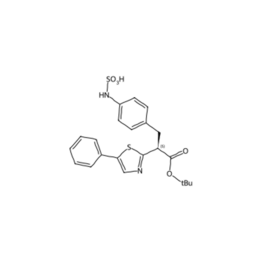 CC(C)(C)OC(=O)[C@H](Cc1ccc(NS(=O)(=O)O)cc1)c1ncc(-c2ccccc2)s1